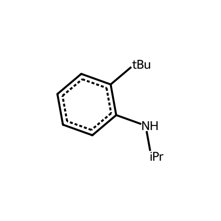 CC(C)Nc1ccccc1C(C)(C)C